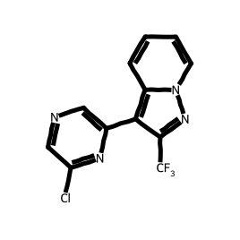 FC(F)(F)c1nn2ccccc2c1-c1cncc(Cl)n1